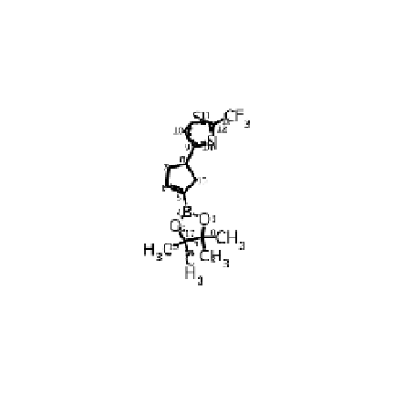 CC1(C)OB(C2=CCC(c3csc(C(F)(F)F)n3)C2)OC1(C)C